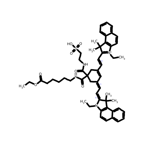 CCOC(=O)CCCCCNC(=O)C1(C(=O)NCCS(=O)(=O)O)CC(/C=C/C2=[N+](CC)c3ccc4ccccc4c3C2(C)C)=CC(=C/C=C2/N(CC)c3ccc4ccccc4c3C2(C)C)/C1